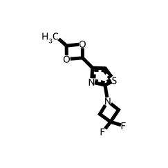 CC1OC(c2csc(N3CC(F)(F)C3)n2)O1